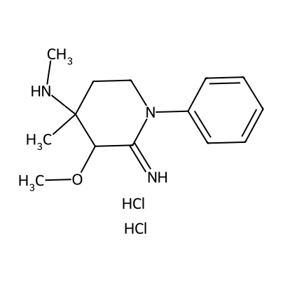 CNC1(C)CCN(c2ccccc2)C(=N)C1OC.Cl.Cl